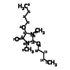 CCCCOC1C(=O)N(C)C(OCCCC)N1C